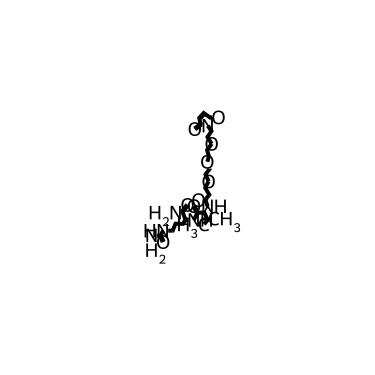 CC(C)[C@H](NC(=O)CCOCCOCCOCCN1C(=O)C=CC1=O)C(=O)NC(CCCNC(N)=O)C(N)=O